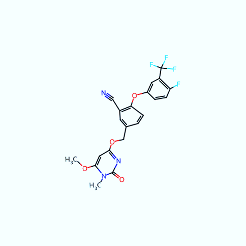 COc1cc(OCc2ccc(Oc3ccc(F)c(C(F)(F)F)c3)c(C#N)c2)nc(=O)n1C